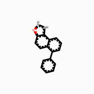 c1ccc(-c2cccc3c2ccc2o[siH][siH]c23)cc1